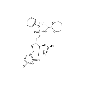 CCC(=O)O[C@@H]1[C@@H](COP(=O)(NC(C)C2OCCCCO2)Oc2ccccc2)O[C@@H](n2ccc(=O)[nH]c2=O)[C@]1(C)F